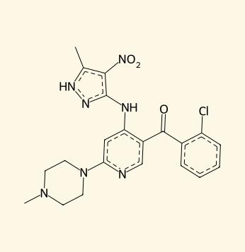 Cc1[nH]nc(Nc2cc(N3CCN(C)CC3)ncc2C(=O)c2ccccc2Cl)c1[N+](=O)[O-]